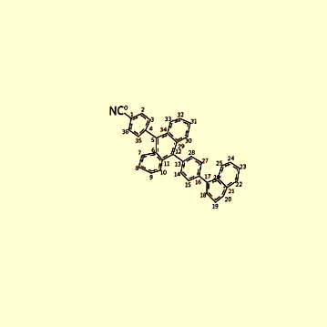 N#Cc1ccc(-c2c3ccccc3c(-c3ccc(-c4cccc5ccccc45)cc3)c3ccccc23)cc1